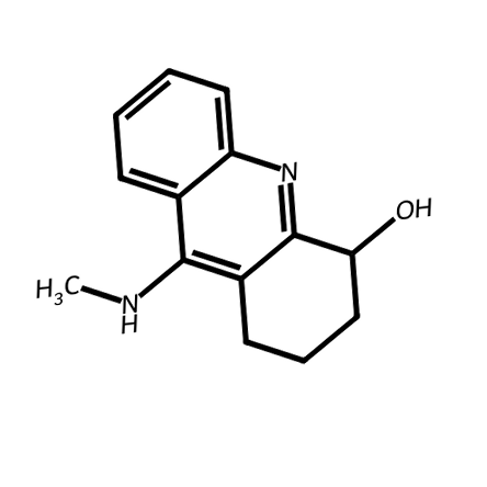 CNc1c2c(nc3ccccc13)C(O)CCC2